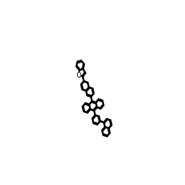 C1=CC(c2cc3ccccc3o2)Cc2ccc(-c3c4ccccc4c(-c4cccc(-c5cccc6ccccc56)c4)c4ccccc34)cc21